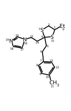 CCC1CSC(CCc2ccc(C)cc2)(CCn2ccnc2)S1